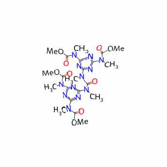 COC(=O)N(C)c1nc(N(C)C(=O)OC)nc(N(C)C(=O)N(C)c2nc(N(C)C(=O)OC)nc(N(C)C(=O)OC)n2)n1